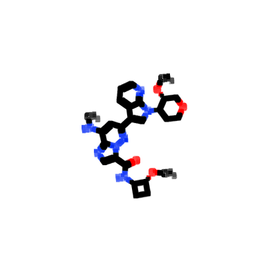 CNc1cc(-c2cn([C@@H]3CCOC[C@H]3OC)c3ncccc23)nn2c(C(=O)N[C@@H]3CC[C@H]3OC)cnc12